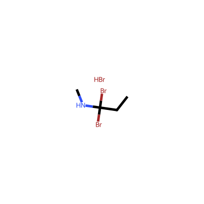 Br.CCC(Br)(Br)NC